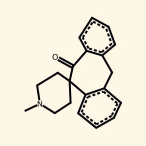 CN1CCC2(CC1)C(=O)c1ccccc1Cc1ccccc12